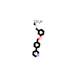 O=C(O)CSCc1cccc(OCc2ccc(-c3cccnc3)cc2)c1